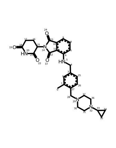 Cc1cc(CNc2cccc3c2C(=O)N(C2CCC(=O)NC2=O)C3=O)ccc1CN1CCN(C2CC2)CC1